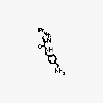 CC(C)n1cc(C(=O)NCc2ccc(CN)cc2)nn1